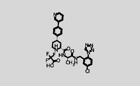 C[C@H](NC(=O)[C@H]1C[C@@H](c2ccc(-c3cccnc3)cc2)CCN1)C(=O)NCc1cc(Cl)ccc1-n1cnnn1.O=C(O)C(F)(F)F